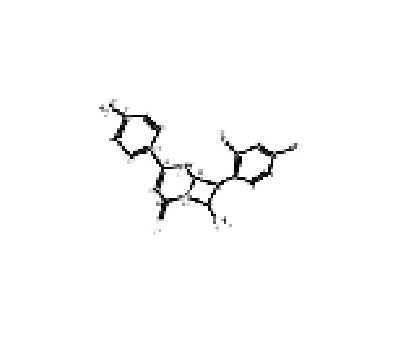 CC1C(c2ccc(F)cc2F)C2NC(c3ccc(N)cc3)=CC(=O)N12